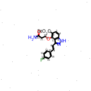 CCOC(=O)c1ccc2[nH]nc(C=Cc3ccc(F)cc3)c2c1OCCC(N)=O